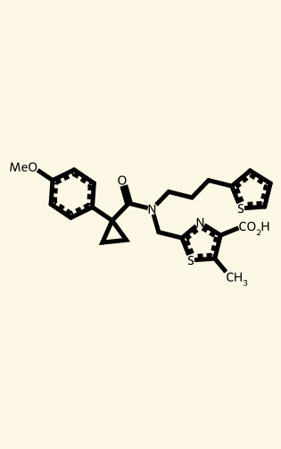 COc1ccc(C2(C(=O)N(CCCc3cccs3)Cc3nc(C(=O)O)c(C)s3)CC2)cc1